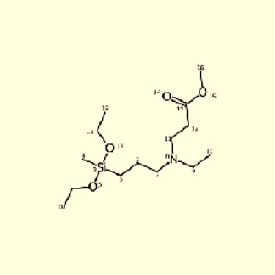 CCO[Si](C)(CCCN(CC)CCC(=O)OC)OCC